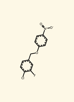 O=[N+]([O-])c1ccc(OCc2ccc(Cl)c(F)c2)cc1